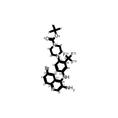 CC(C)(C)OC(=O)N1CCN(c2ccc(Nc3c(N)cnc4ccc(Br)cc34)cc2C(F)(F)F)CC1